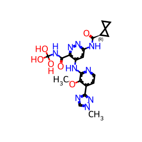 COc1c(-c2ncn(C)n2)ccnc1Nc1cc(NC(=O)[C@@H]2CC23CC3)nnc1C(=O)NC(O)(O)O